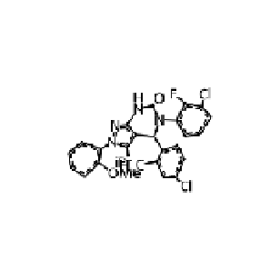 COc1ccccc1-n1nc2c(c1C(C)C)C(c1ccc(Cl)cc1C)N(c1cccc(Cl)c1F)C(=O)N2